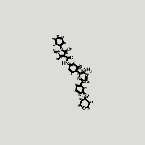 Cc1c(C(=O)Nc2ccc(-c3nc(-c4cccc(OC5CCOCC5)c4)cnc3N)c(F)c2)c(=O)n(-c2ccccc2)n1C